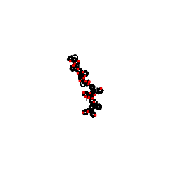 c1ccc(-n2c3ccccc3c3c4c5ccccc5n5c6cc7c8cc9c(c%10cc(-c%11ccc%12c(c%11)oc%11ccc%13c(c%14cccc%15c%16cc%17c(cc%16n%13c%15%14)c%13cccc%14c%15c%16c(ccc%15n%17c%13%14)oc%13ccccc%13%16)c%11%12)ccc%10n9-c9ccccc9)c9c%10ccccc%10n(c7cc6c(cc32)c45)c89)cc1